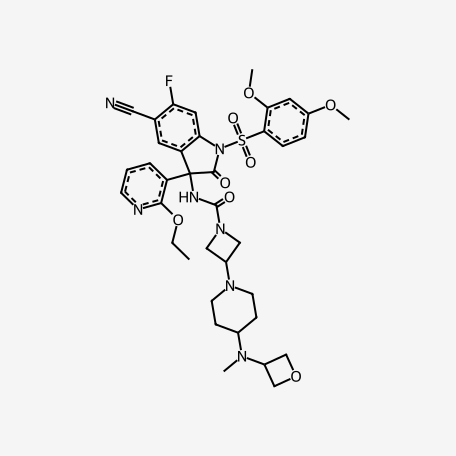 CCOc1ncccc1C1(NC(=O)N2CC(N3CCC(N(C)C4COC4)CC3)C2)C(=O)N(S(=O)(=O)c2ccc(OC)cc2OC)c2cc(F)c(C#N)cc21